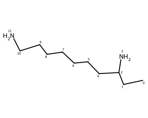 CCC(N)CCCCCCCN